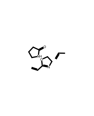 C=CC.C=CC1=NCCO1.O=C1CCCN1